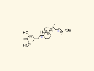 C=C1[C@H](O)CC(=C/C=C2\CCC[C@]3(C)[C@@H]([C@@H](C)/C=C/[C@@H](C)C(C)(C)C)CC[C@@H]23)C[C@H]1O